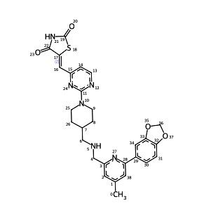 Cc1cc(CNCC2CCN(c3nccc(/C=C4\SC(=O)NC4=O)n3)CC2)nc(-c2ccc3c(c2)OCO3)c1